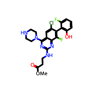 COC(=O)CCNc1nc(N2CCNCC2)c2cc(Cl)c(-c3c(O)cccc3F)c(F)c2n1